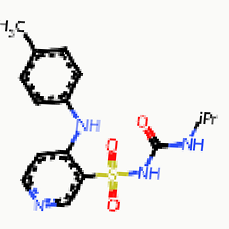 Cc1ccc(Nc2ccncc2S(=O)(=O)NC(=O)NC(C)C)cc1